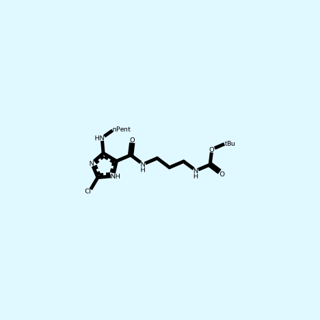 CCCCCNc1nc(Cl)[nH]c1C(=O)NCCCNC(=O)OC(C)(C)C